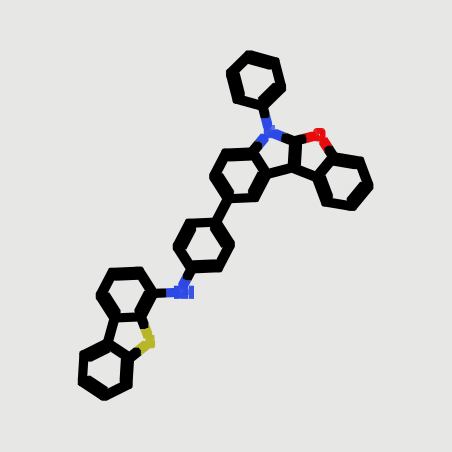 c1ccc(-n2c3ccc(-c4ccc(Nc5cccc6c5sc5ccccc56)cc4)cc3c3c4ccccc4oc32)cc1